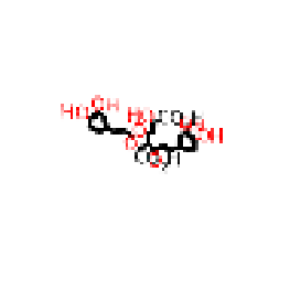 O=C(C=Cc1ccc(O)c(O)c1)OC(C(=O)O)C(CC=C(O)C(=O)O)C(=O)C=Cc1ccc(O)c(O)c1